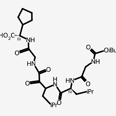 CC(C)COC(=O)NCC(=O)N[C@@H](CC(C)C)C(=O)NC(CC(C)C)C(=O)C(=O)NCC(=O)N[C@H](C(=O)O)C1CCCC1